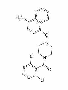 Nc1ccc(OC2CCN(C(=O)c3c(Cl)cccc3Cl)CC2)c2ccccc12